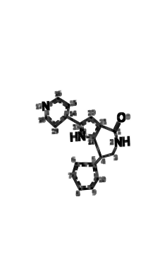 O=C1NCC(c2ccccc2)c2[nH]c(-c3ccncc3)cc21